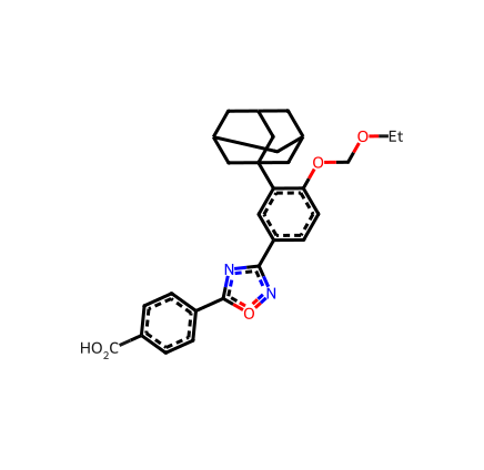 CCOCOc1ccc(-c2noc(-c3ccc(C(=O)O)cc3)n2)cc1C12CC3CC(CC(C3)C1)C2